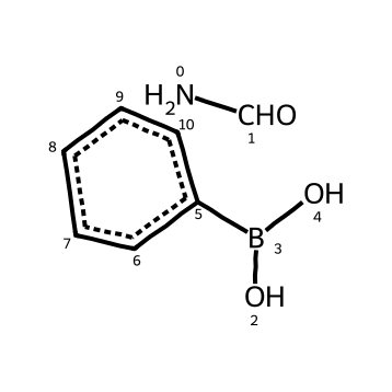 NC=O.OB(O)c1ccccc1